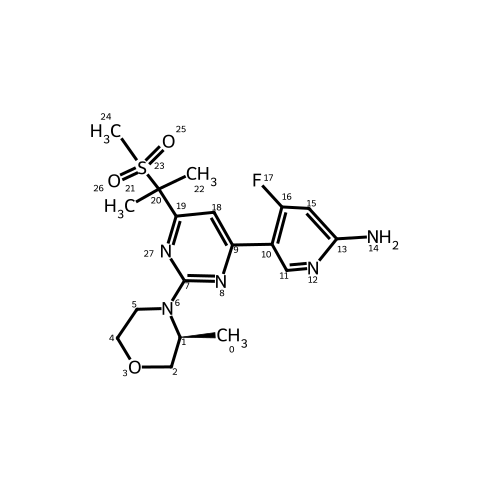 C[C@H]1COCCN1c1nc(-c2cnc(N)cc2F)cc(C(C)(C)S(C)(=O)=O)n1